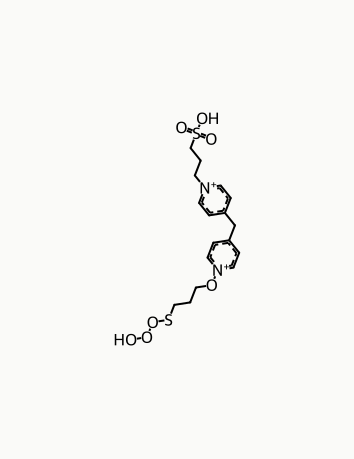 O=S(=O)(O)CCC[n+]1ccc(Cc2cc[n+](OCCCSOOO)cc2)cc1